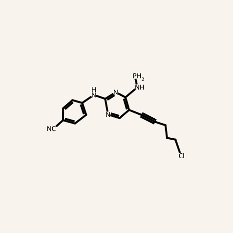 N#Cc1ccc(Nc2ncc(C#CCCCCl)c(NP)n2)cc1